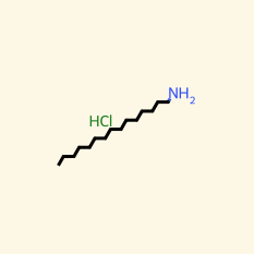 CCCCCCCCCCCCCCCN.Cl